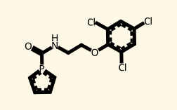 O=C(NCCOc1c(Cl)cc(Cl)cc1Cl)p1cccc1